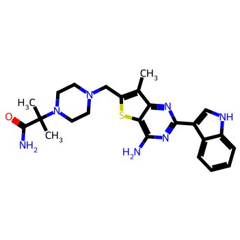 Cc1c(CN2CCN(C(C)(C)C(N)=O)CC2)sc2c(N)nc(-c3c[nH]c4ccccc34)nc12